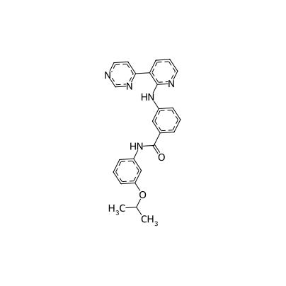 CC(C)Oc1cccc(NC(=O)c2cccc(Nc3ncccc3-c3ccncn3)c2)c1